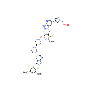 COc1cc(OC)c(F)c(Cc2n[nH]c3ncc(/C(C=N)=C/NC4CCN(Oc5cc(OC)c(F)c(Cc6n[nH]c7ncc(-c8cnn(CCO)c8)cc67)c5F)CC4)cc23)c1F